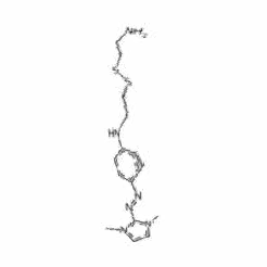 Cn1cc[n+](C)c1N=Nc1ccc(NCCSSCCN)cc1